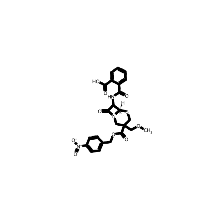 COCC1(C(=O)OCc2ccc([N+](=O)[O-])cc2)CS[C@@H]2C(NC(=O)c3ccccc3C(=O)O)C(=O)N2C1